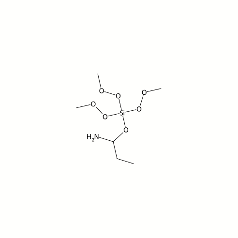 CCC(N)O[Si](OOC)(OOC)OOC